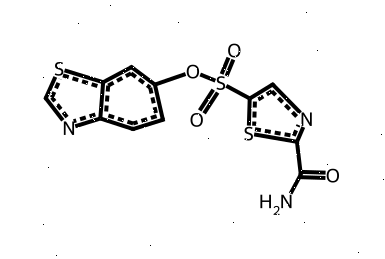 NC(=O)c1ncc(S(=O)(=O)Oc2ccc3ncsc3c2)s1